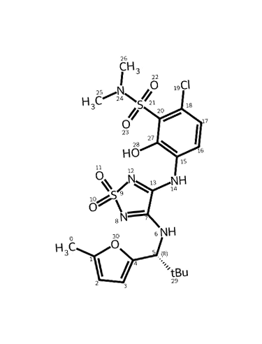 Cc1ccc([C@H](NC2=NS(=O)(=O)N=C2Nc2ccc(Cl)c(S(=O)(=O)N(C)C)c2O)C(C)(C)C)o1